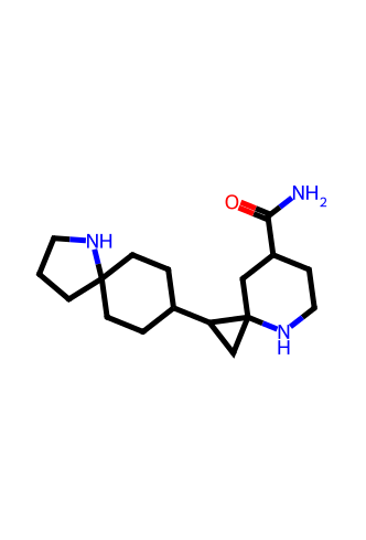 NC(=O)C1CCNC2(C1)CC2C1CCC2(CCCN2)CC1